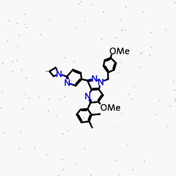 COc1ccc(Cn2nc(-c3ccc(N4C[CH]C4)nc3)c3nc(-c4cccc(C)c4C)c(OC)cc32)cc1